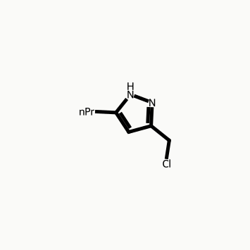 CCCc1cc(CCl)n[nH]1